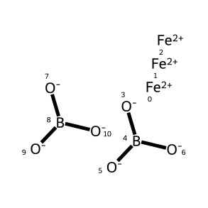 [Fe+2].[Fe+2].[Fe+2].[O-]B([O-])[O-].[O-]B([O-])[O-]